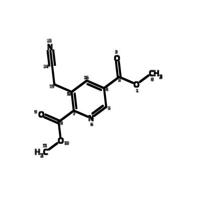 COC(=O)c1cnc(C(=O)OC)c(CC#N)c1